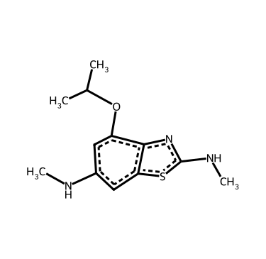 CNc1cc(OC(C)C)c2nc(NC)sc2c1